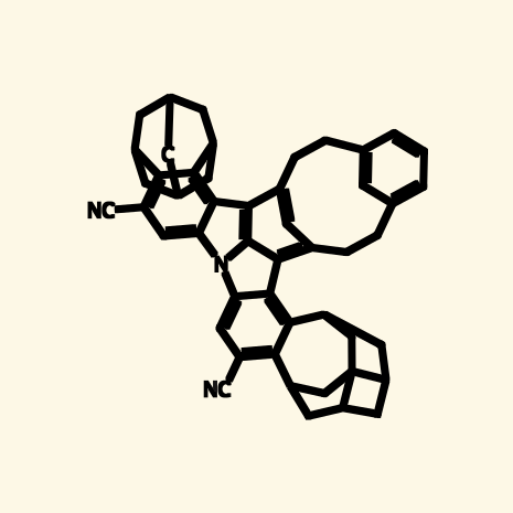 N#Cc1cc2c(c3c1C1CC4CC(C1)CC3C4)c1c3cc(c4c5c6c(c(C#N)cc5n2c14)C1CC2CC4CC6CC24C1)CCc1cccc(c1)CC3